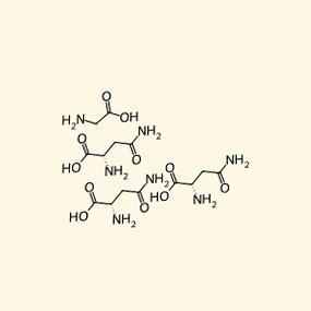 NC(=O)C[C@H](N)C(=O)O.NC(=O)C[C@H](N)C(=O)O.NC(=O)C[C@H](N)C(=O)O.NCC(=O)O